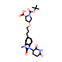 Cn1c(=O)n(C2CCC(=O)NC2=O)c2ccc(CCCO[C@@H]3C[C@H](C(=O)O)N(C(=O)OC(C)(C)C)C3)cc21